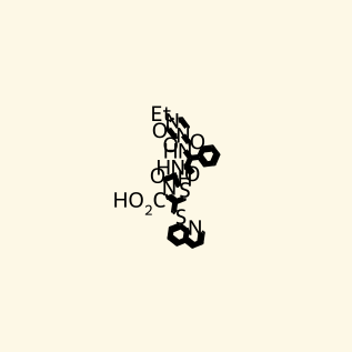 CCN1CCN(C(=O)NC(C(=O)N[C@@H]2C(=O)N3C(C(=O)O)=C(CSc4cccc5cccnc45)CS[C@H]23)c2ccccc2)C(=O)C1=O